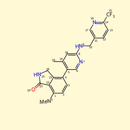 CNc1ccc(-c2cnc(NCc3ccc(C(F)(F)F)nc3)cc2C)c2c1C(=O)NC2